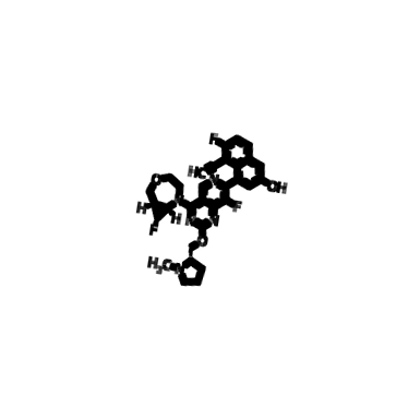 C#Cc1c(F)ccc2cc(O)cc(-c3ncc4c(N5CCOC[C@H]6[C@H](F)[C@H]65)nc(OC[C@@H]5CCCN5C)nc4c3F)c12